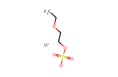 O=S(=O)([O-])OCCOCC(F)(F)F.[Li+]